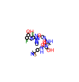 C#Cc1c(F)ccc2cc(O)cc(-c3ncc4c(N5CC6CCC(C5)N6)nc(OC5CCN(CC(=O)NC(C(=O)N6C[C@H](O)CC6C(=O)NCc6ccc(-c7scnc7C)cc6)C(C)(C)C)CC5)nc4c3F)c12